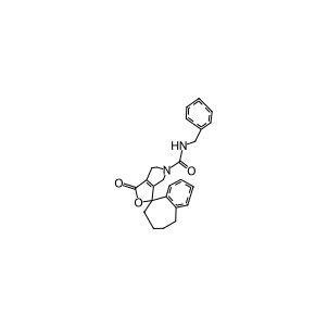 O=C1OC2(CCCCc3ccccc32)C2=C1CCN(C(=O)NCc1ccccc1)C2